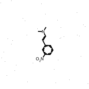 CN(C)C=Cc1cccc([N+](=O)[O-])c1